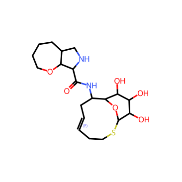 O=C(NC1C/C=C/CCSC2OC1C(O)C(O)C2O)C1NCC2CCCCOC21